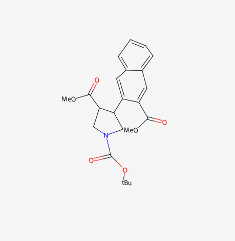 COC(=O)c1cc2ccccc2cc1C1CN(C(=O)OC(C)(C)C)CC1C(=O)OC